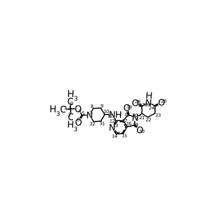 CC(C)(C)OC(=O)N1CCC(Nc2nccc3c2C(=O)N(C2CCC(=O)NC2=O)C3=O)CC1